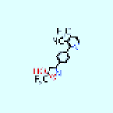 N#Cc1c(C(F)(F)F)ccnc1-c1ccc(C2=NOC(O)(C(F)(F)F)C2)cc1